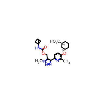 Cc1nc(-c2nnn(C)c2COC(=O)NC23CC(C2)C3)ccc1O[C@H]1CCC[C@H](C(=O)O)C1